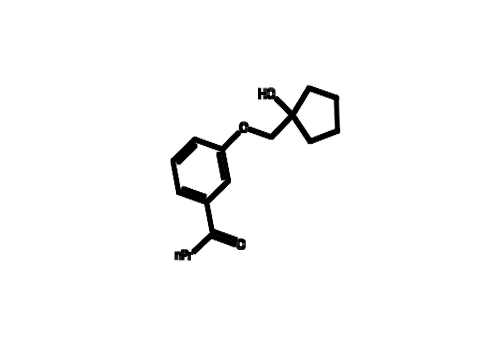 CCCC(=O)c1cccc(OCC2(O)CCCC2)c1